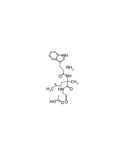 CSCCC(C)(NC(=O)[C@@H](N)Cc1c[nH]c2ccccc12)C(=O)N[C@H]([C]=O)CC(=O)O